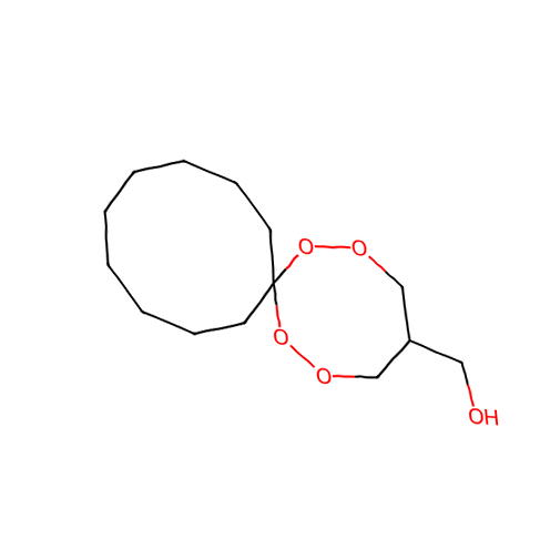 OCC1COOC2(CCCCCCCCC2)OOC1